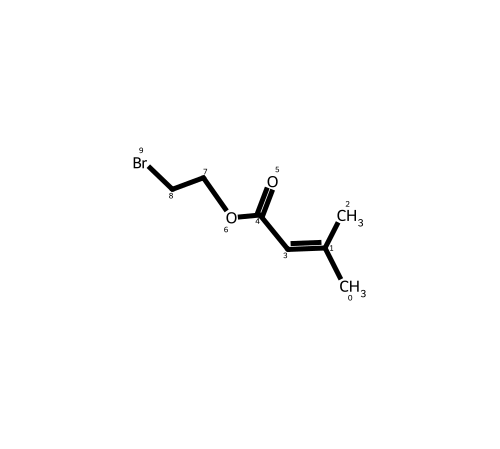 CC(C)=CC(=O)OCCBr